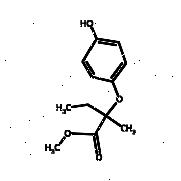 CCC(C)(Oc1ccc(O)cc1)C(=O)OC